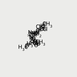 COCCCc1cc(CN(C(=O)C(CN)Cc2ccc(OCCOc3c(Cl)cc(C)cc3Cl)cc2)C2CC2)cc(OC(C)(C)C(=O)[O-])c1.[Na+]